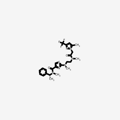 Cc1cc(C(F)(F)F)nn1CC(=O)N(C)CCN(C)c1nc(C(=O)N(C)[C@H](C)c2ccccc2)cs1